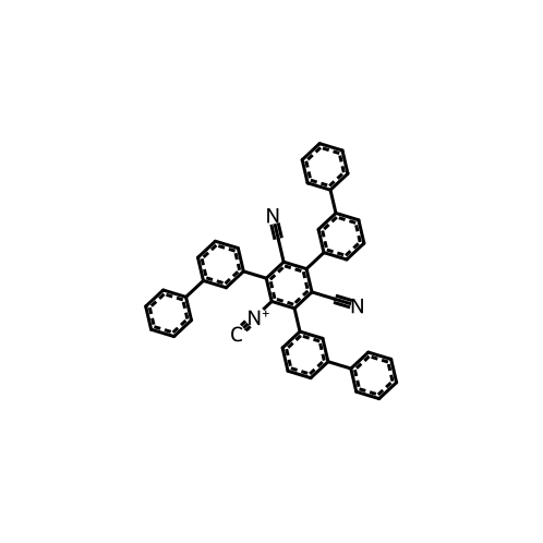 [C-]#[N+]c1c(-c2cccc(-c3ccccc3)c2)c(C#N)c(-c2cccc(-c3ccccc3)c2)c(C#N)c1-c1cccc(-c2ccccc2)c1